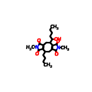 CCCCC1CC2=C(C(=O)N(C)C2=O)C(C(O)CCCC)CC2=C1C(=O)N(C)C2=O